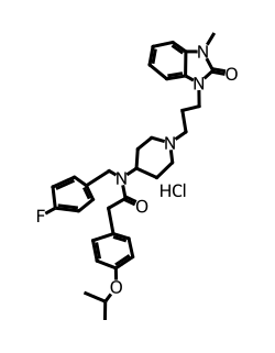 CC(C)Oc1ccc(CC(=O)N(Cc2ccc(F)cc2)C2CCN(CCCn3c(=O)n(C)c4ccccc43)CC2)cc1.Cl